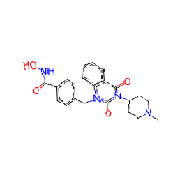 CN1CCC(n2c(=O)c3ccccc3n(Cc3ccc(C(=O)NO)cc3)c2=O)CC1